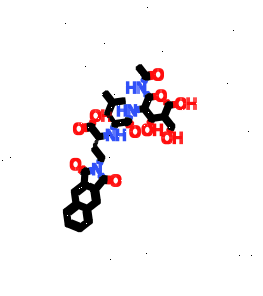 CC(=O)NC1OC(O)C(CO)C(O)C1NC(=O)[C@H](CC(C)C)N[C@H](CCN1C(=O)c2cc3ccccc3cc2C1=O)C(=O)O